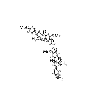 COc1ccc(C2=CN3C(=O)c4cc(OC)c(OCCCOc5cc6c(cc5OC)C(=O)N5C=C(c7ccc(N)cc7)C[C@]5(C)C=N6)cc4N=C[C@@]3(C)C2)cc1